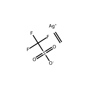 C=C.O=S(=O)([O-])C(F)(F)F.[Ag+]